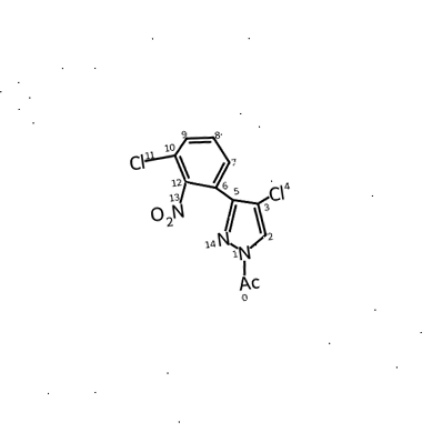 CC(=O)n1cc(Cl)c(-c2cccc(Cl)c2[N+](=O)[O-])n1